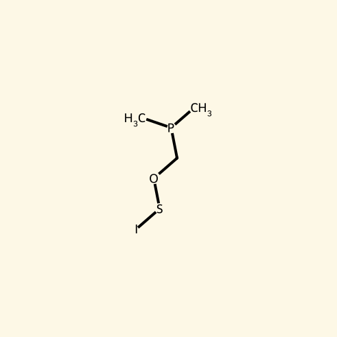 CP(C)COSI